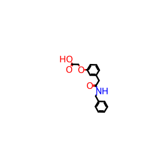 O=C(O)COc1cccc(CC(=O)NCc2ccccc2)c1